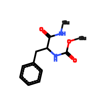 CC(C)(C)NC(=O)C(Cc1ccccc1)NC(=O)OC(C)(C)C